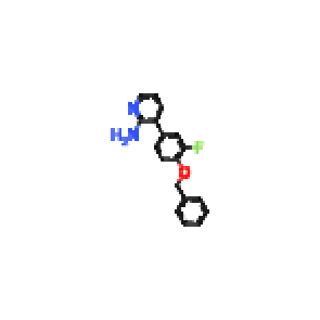 Nc1ncccc1-c1ccc(OCc2ccccc2)c(F)c1